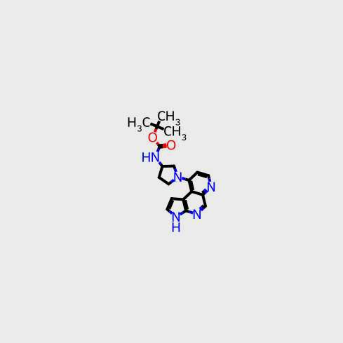 CC(C)(C)OC(=O)NC1CCN(c2ccnc3cnc4[nH]ccc4c23)C1